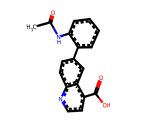 CC(=O)Nc1ccccc1-c1ccc2nccc(C(=O)O)c2c1